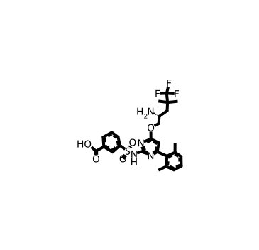 Cc1cccc(C)c1-c1cc(OC[C@H](N)CC(C)(C)C(F)(F)F)nc(NS(=O)(=O)c2cccc(C(=O)O)c2)n1